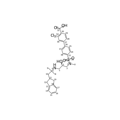 CN(C[C@H](O)CNC(C)(C)CC1Cc2ccccc2C1)S(=O)(=O)c1ccc(-c2ccc(C(=O)O)c(Cl)c2)cc1